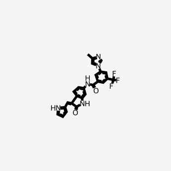 Cc1cn(-c2cc(C(=O)Nc3ccc4c(c3)NC(=O)C4=Cc3ccc[nH]3)cc(C(F)(F)F)c2)cn1